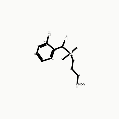 CCCCCCCCCCCC[N+](C)(C)C(Cl)c1ccccc1Cl